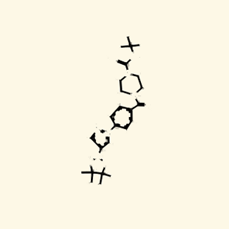 CC(C)(C)OC(=O)N1CCN(C(=O)c2ccc(-n3cc(B4OC(C)(C)C(C)(C)O4)cn3)cc2)CC1